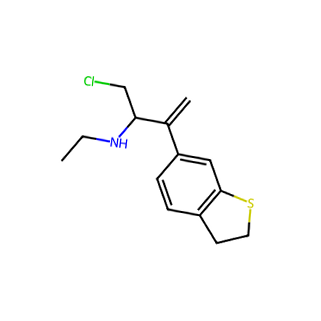 C=C(c1ccc2c(c1)SCC2)C(CCl)NCC